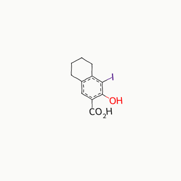 O=C(O)c1cc2c(c(I)c1O)CCCC2